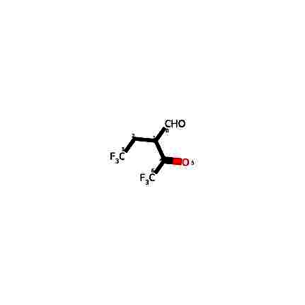 O=CC(CC(F)(F)F)C(=O)C(F)(F)F